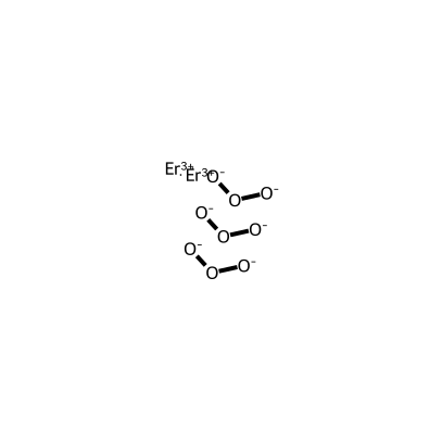 [Er+3].[Er+3].[O-]O[O-].[O-]O[O-].[O-]O[O-]